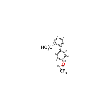 O=C(O)c1ccccc1-c1ccc(OCC(F)(F)F)cc1